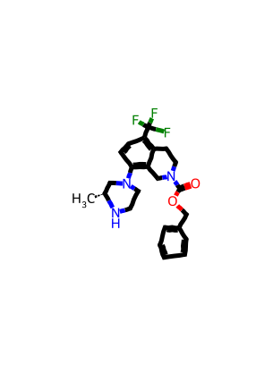 C[C@@H]1CN(c2ccc(C(F)(F)F)c3c2CN(C(=O)OCc2ccccc2)CC3)CCN1